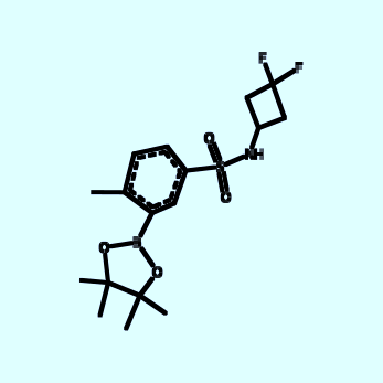 Cc1ccc(S(=O)(=O)NC2CC(F)(F)C2)cc1B1OC(C)(C)C(C)(C)O1